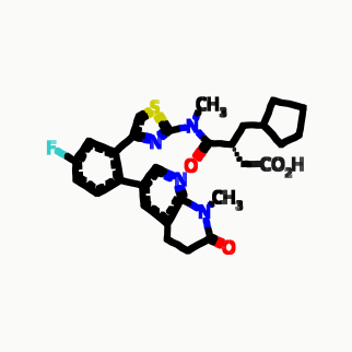 CN(C(=O)[C@@H](CC(=O)O)CC1CCCC1)c1nc(-c2cc(F)ccc2-c2cnc3c(c2)CCC(=O)N3C)cs1